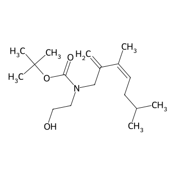 C=C(CN(CCO)C(=O)OC(C)(C)C)/C(C)=C\CC(C)C